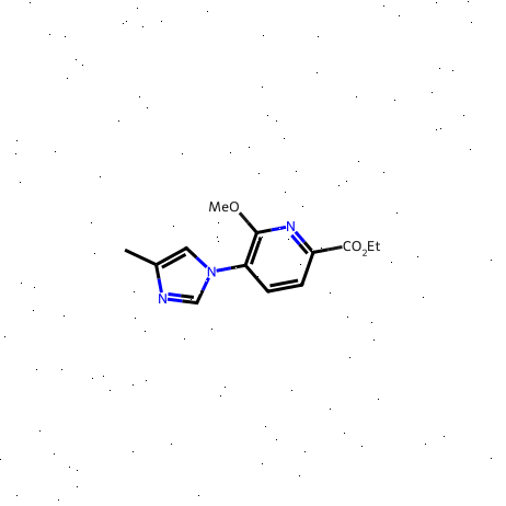 CCOC(=O)c1ccc(-n2cnc(C)c2)c(OC)n1